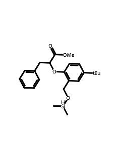 COC(=O)C(Cc1ccccc1)Oc1ccc(C(C)(C)C)cc1CO[SiH](C)C